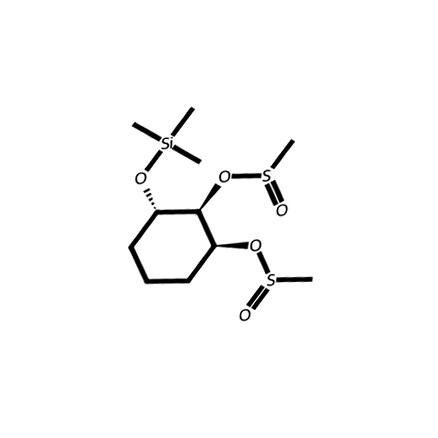 CS(=O)O[C@H]1[C@@H](OS(C)=O)CCC[C@@H]1O[Si](C)(C)C